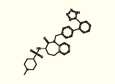 CN1CCC(S(=O)(=O)NC2CCc3ccccc3N(Cc3ccc(-c4ccccc4-c4nnn[nH]4)cc3)C2=O)CC1